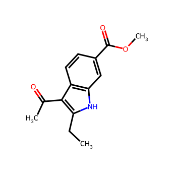 CCc1[nH]c2cc(C(=O)OC)ccc2c1C(C)=O